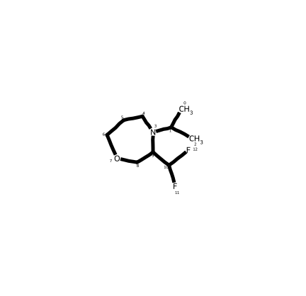 CC(C)N1CCCOCC1C(F)F